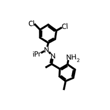 C/C(=N\N(c1cc(Cl)cc(Cl)c1)C(C)C)c1cc(C)ccc1N